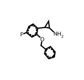 NC1CC1c1ccc(F)cc1OCc1ccccc1